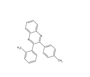 Cc1ccc(-c2nc3ccccc3nc2-c2ccccc2C)cc1